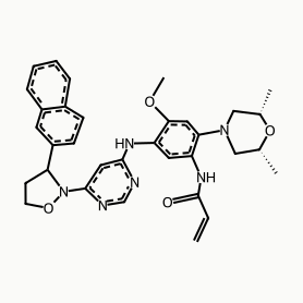 C=CC(=O)Nc1cc(Nc2cc(N3OCCC3c3ccc4ccccc4c3)ncn2)c(OC)cc1N1C[C@@H](C)O[C@@H](C)C1